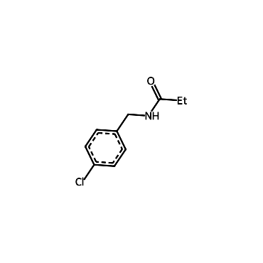 [CH2]CC(=O)NCc1ccc(Cl)cc1